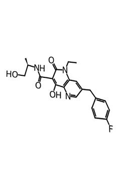 CCn1c(=O)c(C(=O)N[C@H](C)CO)c(O)c2ncc(Cc3ccc(F)cc3)cc21